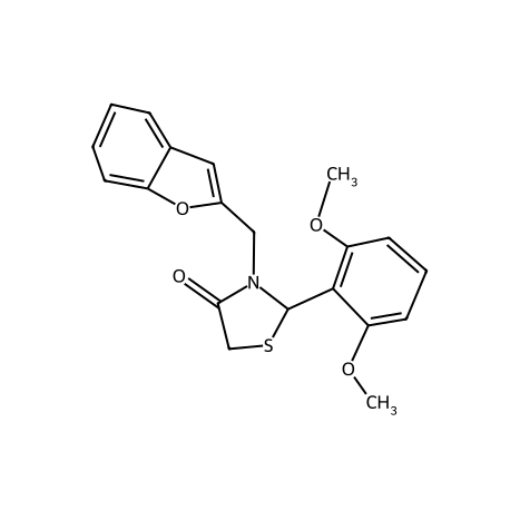 COc1cccc(OC)c1C1SCC(=O)N1Cc1cc2ccccc2o1